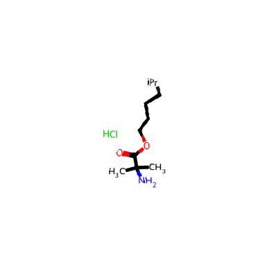 CC(C)CCCCOC(=O)C(C)(C)N.Cl